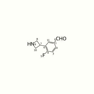 O=Cc1ccc(F)c(C2CNC2)c1